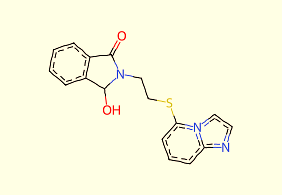 O=C1c2ccccc2C(O)N1CCSc1cccc2nccn12